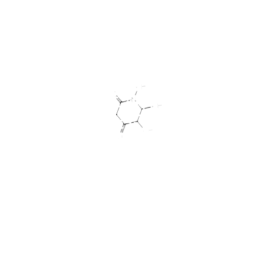 CC1C(=O)CC(=O)N(C)C1C